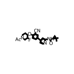 CC(=O)N1CCC(Oc2ccc(-c3ccnc(NC(=O)[C@H]4CC4(C)C)c3)cc2C#N)C(F)C1